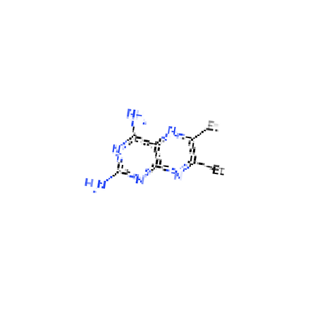 CCc1nc2nc(N)nc(N)c2nc1CC